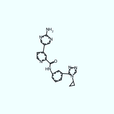 Nc1ncc(-c2ccnc(C(=O)Nc3cccc(-c4nncn4C4CC4)c3)c2)cn1